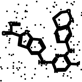 COC(=O)c1cc2cc(Nc3ncc(F)c(Nc4ccc5c(c4)OOCC5)n3)ccc2o1